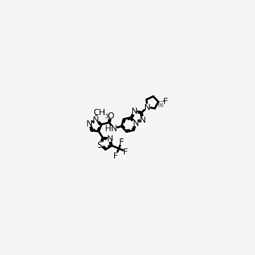 Cn1ncc(-c2nc(C(F)(F)F)cs2)c1C(=O)Nc1ccn2nc(N3CC[C@H](F)C3)nc2c1